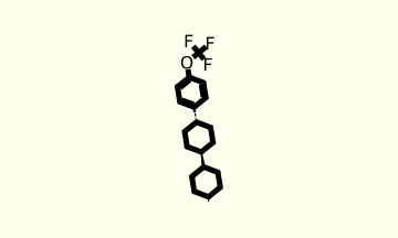 FC(F)(F)Oc1ccc([C@H]2CC[C@H](C3CC[CH]CC3)CC2)cc1